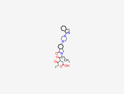 CC[C@@H](C(=O)C(CC(=O)O)C(=O)CF)N1Cc2cc(N3CCN(c4nsc5ccccc45)CC3)ccc2C1=O